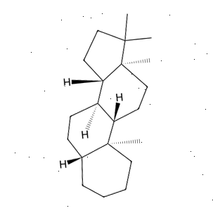 CC1(C)CC[C@H]2[C@@H]3CC[C@H]4CCCC[C@]4(C)[C@H]3CC[C@@]21C